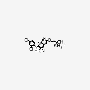 CN(C)CCOc1cc2cc(C#N)c(Nc3ccc(Cl)cc3Cl)nc2cn1